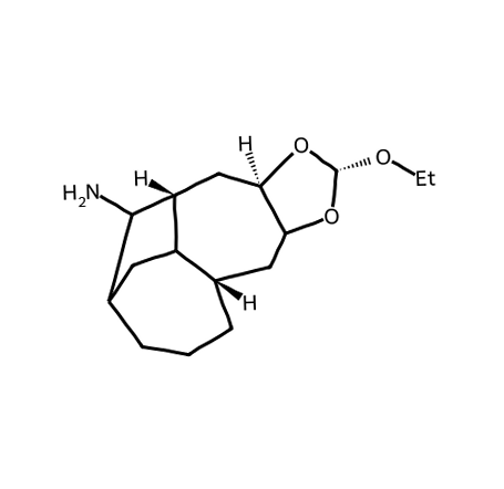 CCO[C@@H]1OC2C[C@@H]3CCCC4CC3[C@@H](C[C@H]2O1)C4N